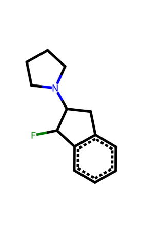 FC1c2ccccc2CC1N1CCCC1